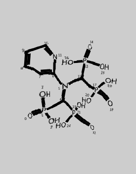 O=P(O)(O)C(N(c1ccccn1)C(P(=O)(O)O)P(=O)(O)O)P(=O)(O)O